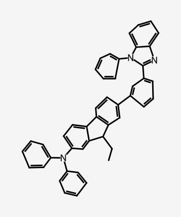 CCC1c2cc(-c3cccc(-c4nc5ccccc5n4-c4ccccc4)c3)ccc2-c2ccc(N(c3ccccc3)c3ccccc3)cc21